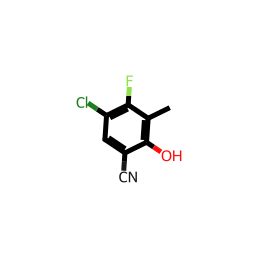 Cc1c(O)c(C#N)cc(Cl)c1F